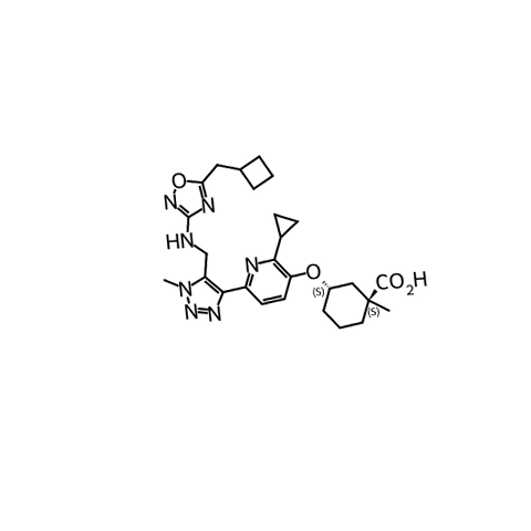 Cn1nnc(-c2ccc(O[C@H]3CCC[C@](C)(C(=O)O)C3)c(C3CC3)n2)c1CNc1noc(CC2CCC2)n1